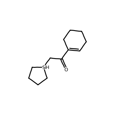 O=C(C[SiH]1CCCC1)C1=CCCCC1